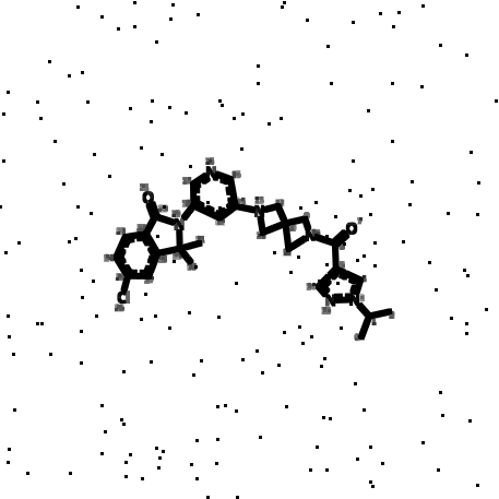 CC(C)n1cc(C(=O)N2CC3(C2)CN(c2cncc(N4C(=O)c5ccc(Cl)cc5C4(C)C)c2)C3)cn1